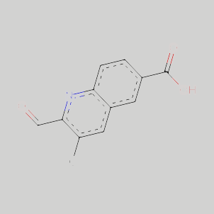 Cc1cc2cc(C(=O)O)ccc2nc1C=O